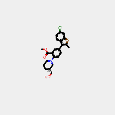 COC(=O)c1cc(-c2c(C)sc3cc(Cl)ccc23)ccc1N1CCC[C@H](CO)C1